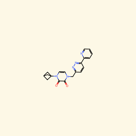 O=c1c(=O)n(C23CC(C2)C3)ccn1Cc1ccc(-c2ccccn2)nn1